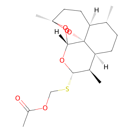 CC(=O)OCS[C@@H]1O[C@@H]2O[C@]3(C)CC[C@H]4[C@H](C)CC[C@@H]([C@H]1C)[C@@]24OO3